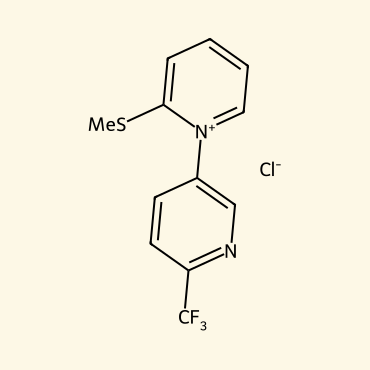 CSc1cccc[n+]1-c1ccc(C(F)(F)F)nc1.[Cl-]